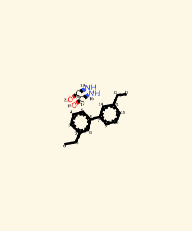 CCc1cccc(-c2cccc(CC)c2)c1.N=C=O.N=C=O